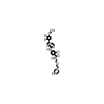 N#CCOc1ccc(-c2cnc3c(Nc4ccc(C(=O)NCCOCCN5CCNCC5)c(Cl)c4)nccn23)c(F)c1F